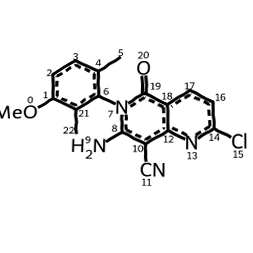 COc1ccc(C)c(-n2c(N)c(C#N)c3nc(Cl)ccc3c2=O)c1C